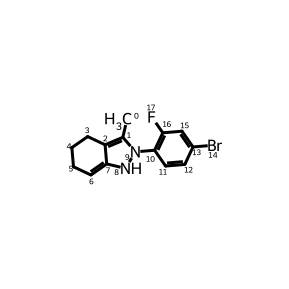 CC1=C2CCCC=C2NN1c1ccc(Br)cc1F